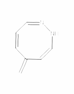 C=C1/C=C\C=N/N/C=C\1